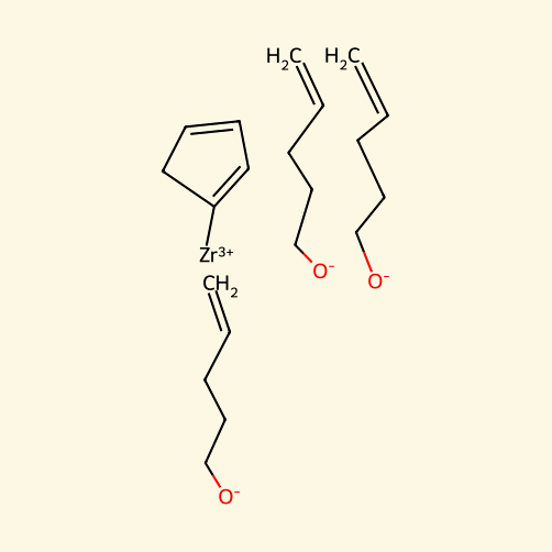 C=CCCC[O-].C=CCCC[O-].C=CCCC[O-].[Zr+3][C]1=CC=CC1